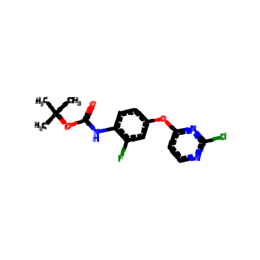 CC(C)(C)OC(=O)Nc1ccc(Oc2ccnc(Cl)n2)cc1F